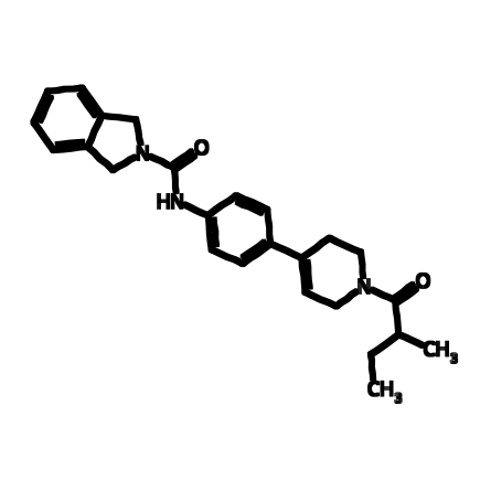 CCC(C)C(=O)N1CC=C(c2ccc(NC(=O)N3Cc4ccccc4C3)cc2)CC1